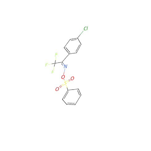 O=S(=O)(ON=C(c1ccc(Cl)cc1)C(F)(F)F)c1ccccc1